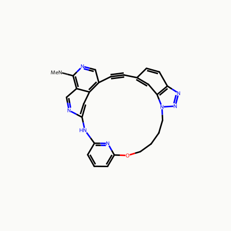 CNc1ncc2c3cc(ncc13)Nc1cccc(n1)OCCCCn1nnc3ccc(cc31)C#C2